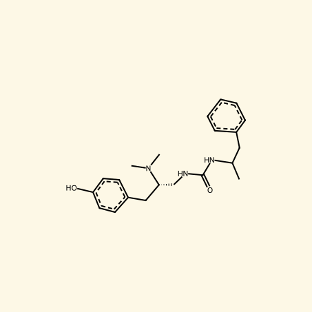 CC(Cc1ccccc1)NC(=O)NC[C@H](Cc1ccc(O)cc1)N(C)C